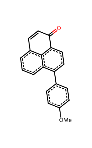 COc1ccc(-c2ccc3c4c(cccc24)C=CC3=O)cc1